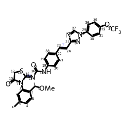 COCc1ccc(C)cc1N1C(=O)CS/C1=N\C(=O)Nc1ccc(/C=C/c2ncn(-c3ccc(OC(F)(F)F)cc3)n2)cc1